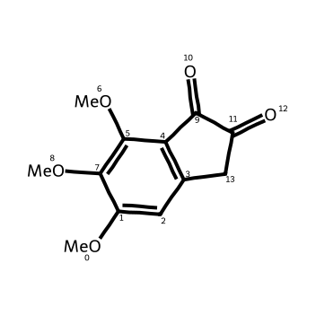 COc1cc2c(c(OC)c1OC)C(=O)C(=O)C2